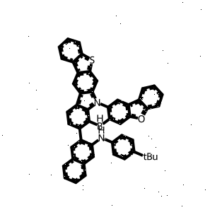 CC(C)(C)c1ccc(Nc2cc3ccccc3cc2-c2ccc3c4cc5c(cc4n4c3c2Bc2cc3oc6ccccc6c3cc2-4)sc2ccccc25)cc1